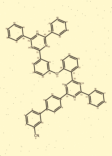 N#Cc1cccc(-c2ccc(-c3nc(-c4ccccc4)nc(-c4ccccc4Oc4cccc(-c5nc(-c6ccccc6)nc(-c6ccccc6)n5)c4)n3)cc2)c1